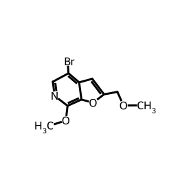 COCc1cc2c(Br)cnc(OC)c2o1